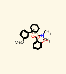 COc1cccc([C@@]2(OC(=O)c3ccccc3O)CCCC[C@@H]2CN(C)C)c1